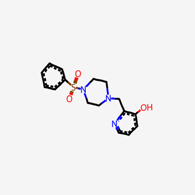 O=S(=O)(c1ccccc1)N1CCN(Cc2ncccc2O)CC1